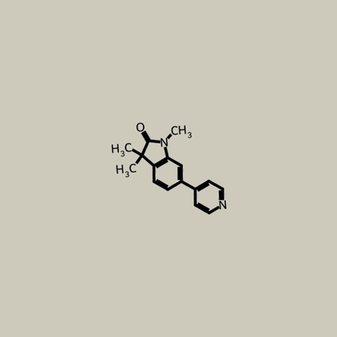 CN1C(=O)C(C)(C)c2ccc(-c3ccncc3)cc21